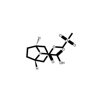 CS(=O)(=O)COC(=O)N1[C@H]2CC[C@H]1CN(C(=O)O)C2